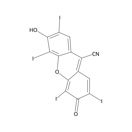 N#Cc1c2cc(I)c(=O)c(I)c-2oc2c(I)c(O)c(I)cc12